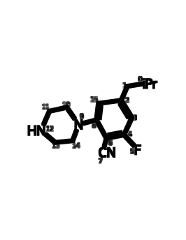 CC(C)Cc1cc(F)c(C#N)c(N2CCNCC2)c1